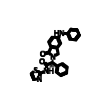 O=C(Nc1nccs1)[C@@H](c1ccccc1)N1Cc2cc(Nc3ccccc3)ccc2C1=O